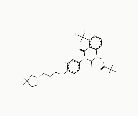 CC1N(OC(=O)C(F)(F)F)c2cccc(C(F)(F)F)c2C(=O)N1c1ccc(OCCCN2CCC(F)(F)C2)cc1